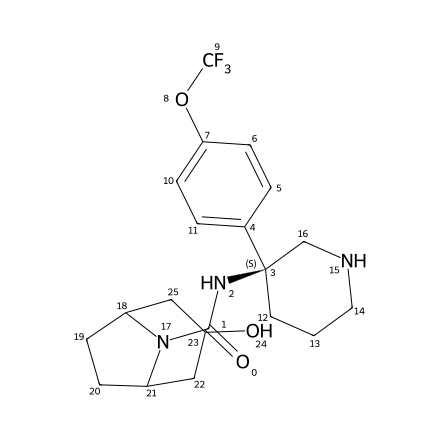 O=C(N[C@]1(c2ccc(OC(F)(F)F)cc2)CCCNC1)N1C2CCC1CC(O)C2